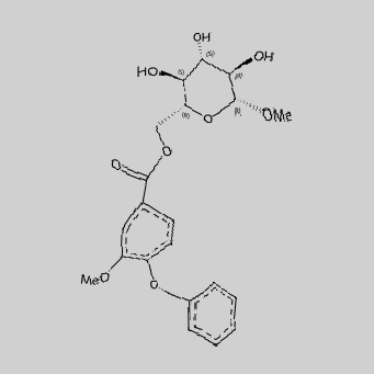 COc1cc(C(=O)OC[C@H]2O[C@@H](OC)[C@H](O)[C@@H](O)[C@@H]2O)ccc1Oc1ccccc1